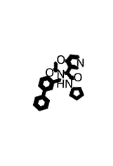 O=C(NC1CCCC1)C1c2cnccc2OCC(=O)N1Cc1cccc(-c2ccccc2)c1